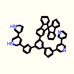 C1=CC(C2=CNCC(c3cccc(-c4cc(-c5cccc(-c6cncc(-c7cccnc7)c6)c5)cc(-c5ccc6c(c5)C5(c7ccccc7-c7ccccc75)c5ccccc5-6)c4)c3)=C2)=CNC1